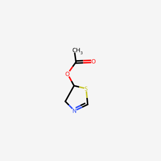 CC(=O)OC1CN=CS1